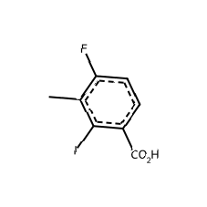 Cc1c(F)ccc(C(=O)O)c1I